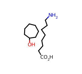 NCCCCCCCC(=O)O.OC1CCCCCC1